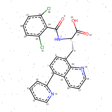 O=C(N[C@@H](Cc1ccc(-c2ccccn2)c2cccnc12)C(=O)O)c1c(Cl)cccc1Cl